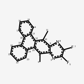 Cc1c2nc(F)c(F)nc2c(C)c2c3ccccc3c3ccccc3c12